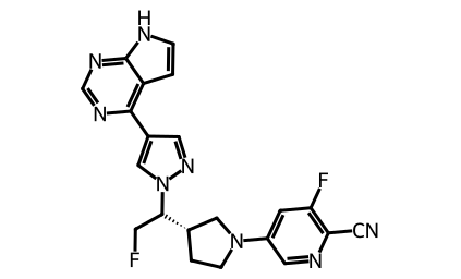 N#Cc1ncc(N2CC[C@H](C(CF)n3cc(-c4ncnc5[nH]ccc45)cn3)C2)cc1F